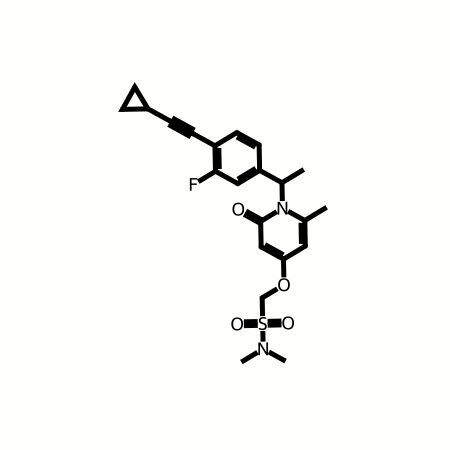 Cc1cc(OCS(=O)(=O)N(C)C)cc(=O)n1C(C)c1ccc(C#CC2CC2)c(F)c1